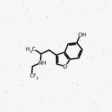 CC(Cc1coc2ccc(O)cc12)NCC(F)(F)F